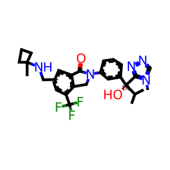 CC(C)[C@](O)(c1cccc(N2Cc3c(cc(CNC4(C)CCC4)cc3C(F)(F)F)C2=O)c1)c1nncn1C